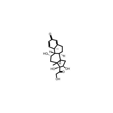 CC12C[C@H](O)[C@H]3[C@@H](CCC4=CC(=O)C=C[C@@]43C)[C@@H]1C[C@@H](O)[C@]2(O)C(=O)CO